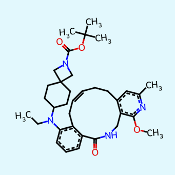 CCN(c1cccc2c1C/C=C\CCc1cc(C)nc(OC)c1CNC2=O)C1CCC2(CC1)CN(C(=O)OC(C)(C)C)C2